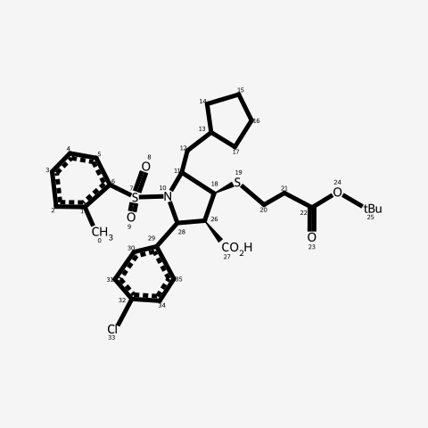 Cc1ccccc1S(=O)(=O)N1C(CC2CCCC2)[C@@H](SCCC(=O)OC(C)(C)C)[C@@H](C(=O)O)C1c1ccc(Cl)cc1